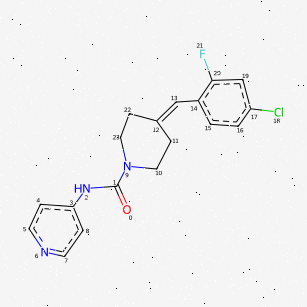 O=C(Nc1ccncc1)N1CCC(=Cc2ccc(Cl)cc2F)CC1